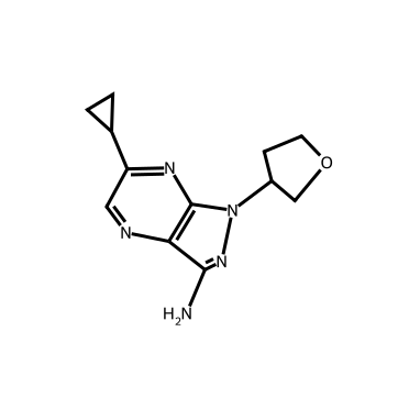 Nc1nn(C2CCOC2)c2nc(C3CC3)cnc12